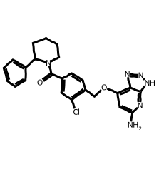 Nc1cc(OCc2ccc(C(=O)N3CCCCC3c3ccccc3)cc2Cl)c2nn[nH]c2n1